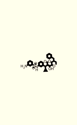 CCC(Cc1ccccc1)C1OC(=O)C(C(c2cccc(NS(=O)(=O)c3cccc(N)c3)c2)C2CC2)=C(O)C1=O